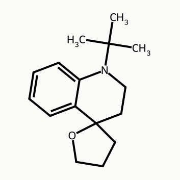 CC(C)(C)N1CCC2(CCCO2)c2ccccc21